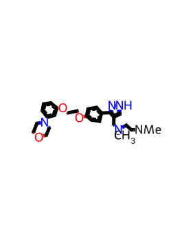 CNCCN(C)Cc1c[nH]nc1-c1ccc(OCCOc2cccc(N3CCOCC3)c2)cc1